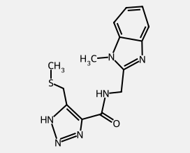 CSCc1[nH]nnc1C(=O)NCc1nc2ccccc2n1C